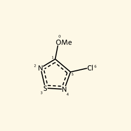 COc1nsnc1Cl